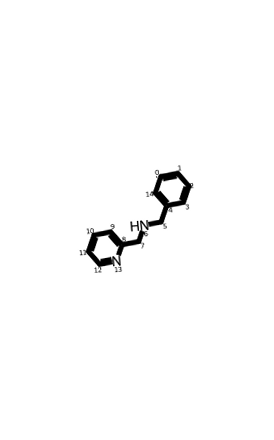 [c]1cccc(CNCc2ccccn2)c1